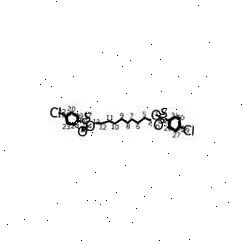 O=S(=S)(OCCCCCCCCCCOS(=O)(=S)c1ccc(Cl)cc1)c1ccc(Cl)cc1